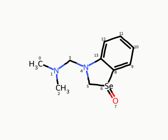 CN(C)CN1C[Se](=O)c2ccccc21